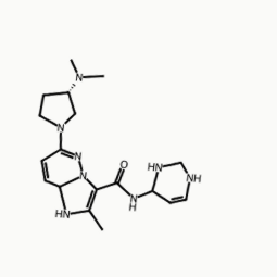 CC1=C(C(=O)NC2C=CNCN2)N2N=C(N3CC[C@H](N(C)C)C3)C=CC2N1